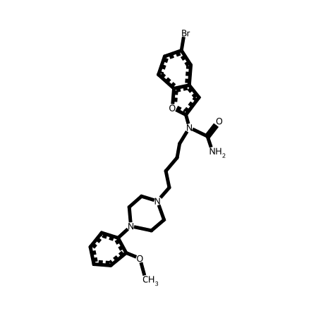 COc1ccccc1N1CCN(CCCCN(C(N)=O)c2cc3cc(Br)ccc3o2)CC1